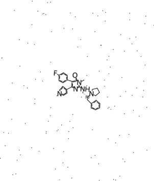 Cn1c(NC[C@@H](Cc2ccccc2)N2CCCC2)nc(-c2ccncc2)c(-c2ccc(F)cc2)c1=O